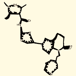 Cc1nn(C)c(C)c1C(=O)Nc1nc(-c2ccc3c(c2)CCC(=O)N3Cc2cccnc2)cs1